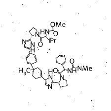 CNC(=O)N[C@@H](C(=O)N1CCC[C@H]1c1ncc(C2=CCC(C)(c3ccc(-c4cnc([C@@H]5CCCN5C(=O)[C@@H](NC(=O)OC)C(C)C)[nH]4)cc3)CC2)[nH]1)c1ccccc1